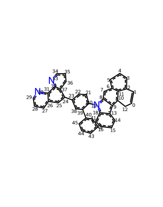 C1=Cc2cccc3cc4c(c(c23)C1)c1ccccc1n4-c1ccc(-c2cc3cccnc3c3ncccc23)cc1-c1ccccc1